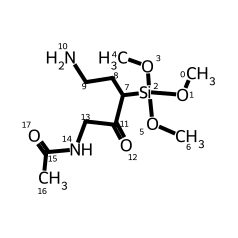 CO[Si](OC)(OC)C(CCN)C(=O)CNC(C)=O